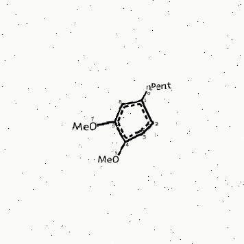 [CH2]CCCCc1ccc(OC)c(OC)c1